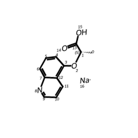 C[C@H](Oc1cccc2ncccc12)C(=O)O.[Na]